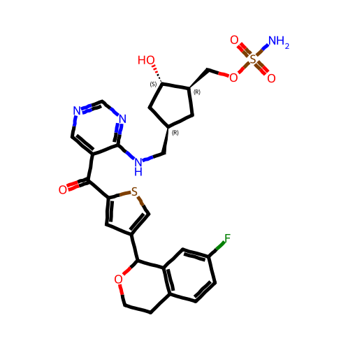 NS(=O)(=O)OC[C@H]1C[C@@H](CNc2ncncc2C(=O)c2cc(C3OCCc4ccc(F)cc43)cs2)C[C@@H]1O